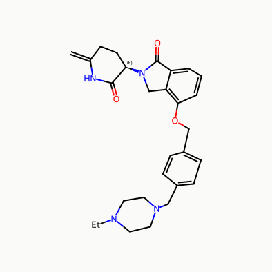 C=C1CC[C@@H](N2Cc3c(OCc4ccc(CN5CCN(CC)CC5)cc4)cccc3C2=O)C(=O)N1